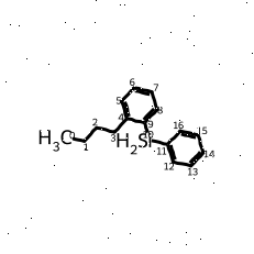 CCCCc1ccccc1[SiH2]c1ccccc1